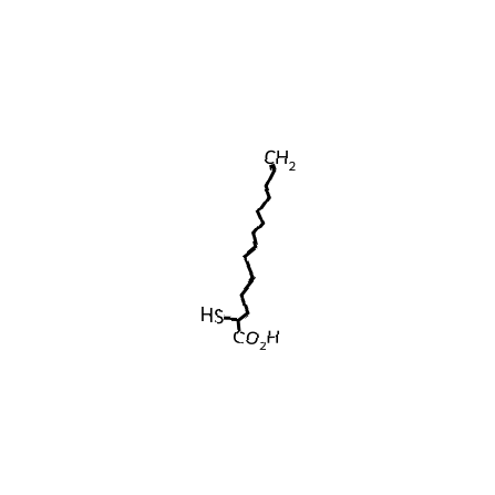 C=CCCCCCCCCCCC(S)C(=O)O